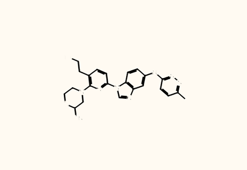 Cc1ccc(Nc2ccc3c(c2)ncn3-c2ccc(CCO)c(N3CCOC(C#N)C3)n2)nn1